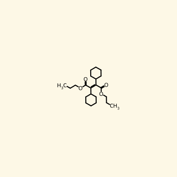 CCCOC(=O)C(=C(C(=O)OCCC)C1CCCCC1)C1CCCCC1